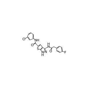 O=C(Cc1ccc(F)cc1)Nc1n[nH]c2sc(C(=O)Nc3cccc(Cl)c3)cc12